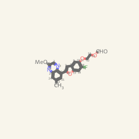 COc1cnc2c(-c3cc4cc(OCCOC=O)c(F)cc4o3)cc(C)cc2n1